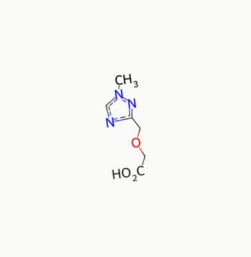 Cn1cnc(COCC(=O)O)n1